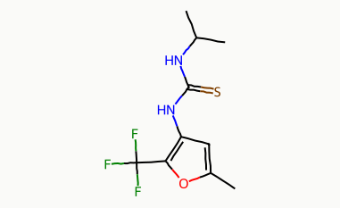 Cc1cc(NC(=S)NC(C)C)c(C(F)(F)F)o1